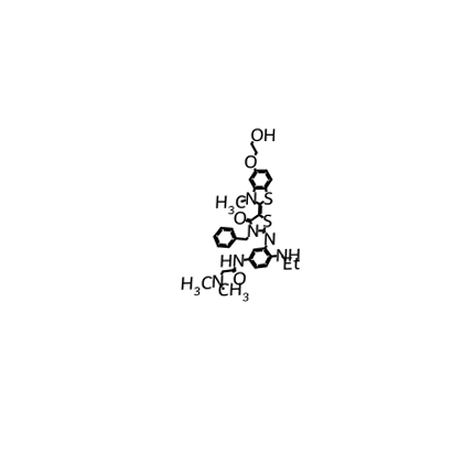 CCNc1ccc(NC(=O)CN(C)C)cc1N=C1S/C(=C2\Sc3ccc(OCCO)cc3N2C)C(=O)N1Cc1ccccc1